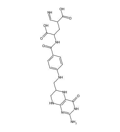 N=CC(CC(NC(=O)c1ccc(NCC2CNc3nc(N)[nH]c(=O)c3N2)cc1)C(=O)O)C(=O)O